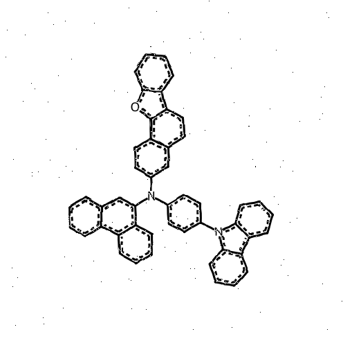 c1ccc2c(c1)cc(N(c1ccc(-n3c4ccccc4c4ccccc43)cc1)c1ccc3c(ccc4c5ccccc5oc34)c1)c1ccccc12